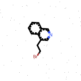 BrCCc1cncc2ccccc12